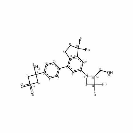 NC1(c2ccc(-c3nc(N4CC(F)(F)[C@@H]4CO)nc4c3CCC4(F)F)cc2)CS(=O)(=O)C1